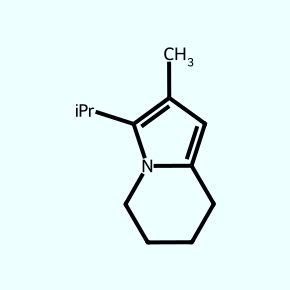 Cc1cc2n(c1C(C)C)CCCC2